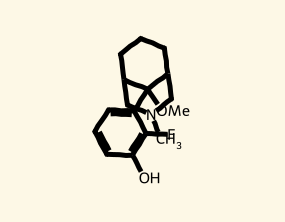 COC1(c2cccc(O)c2F)C2CCCC1CN(C)C2